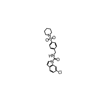 O=C(NCc1ccc(S(=O)(=O)N2CCCCC2)cc1)n1ccc2ccc(Cl)cc21